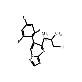 CC(CCl)[C@@H](C)c1nc2ncnn2cc1-c1c(F)cc(F)cc1F